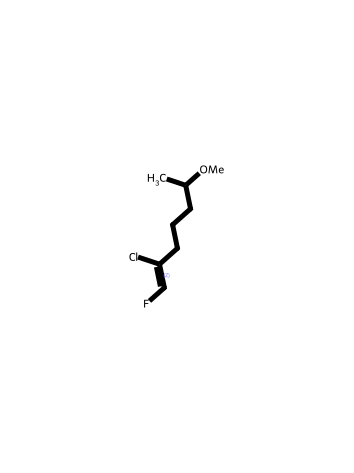 COC(C)CCC/C(Cl)=C/F